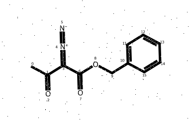 CC(=O)C(=[N+]=[N-])C(=O)OCc1ccccc1